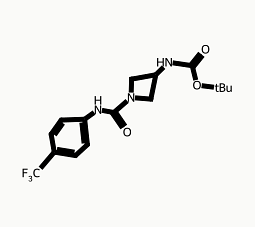 CC(C)(C)OC(=O)NC1CN(C(=O)Nc2ccc(C(F)(F)F)cc2)C1